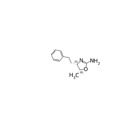 C[C@H]1OC(N)=N[C@H]1CCc1ccccc1